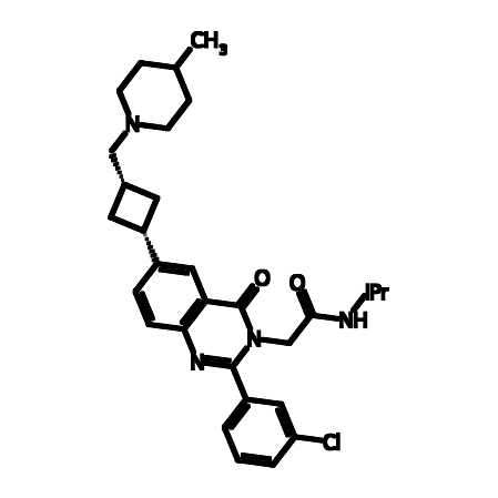 CC1CCN(C[C@H]2C[C@@H](c3ccc4nc(-c5cccc(Cl)c5)n(CC(=O)NC(C)C)c(=O)c4c3)C2)CC1